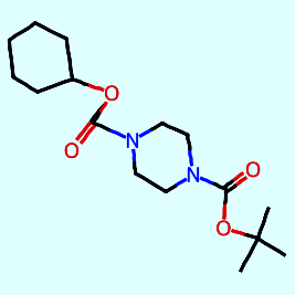 CC(C)(C)OC(=O)N1CCN(C(=O)OC2CCCCC2)CC1